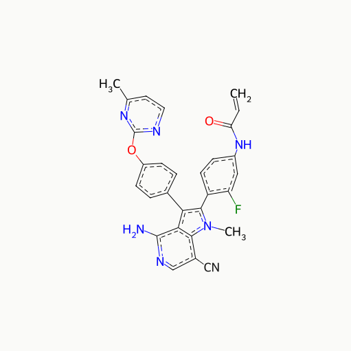 C=CC(=O)Nc1ccc(-c2c(-c3ccc(Oc4nccc(C)n4)cc3)c3c(N)ncc(C#N)c3n2C)c(F)c1